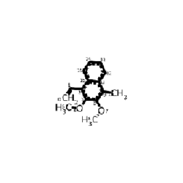 C=Cc1c(OC)c(OC)c(C)c2ccccc12